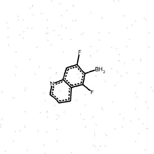 Bc1c(F)cc2ncccc2c1F